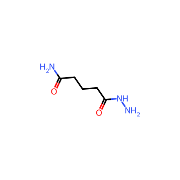 NNC(=O)CCCC(N)=O